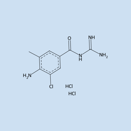 Cc1cc(C(=O)NC(=N)N)cc(Cl)c1N.Cl.Cl